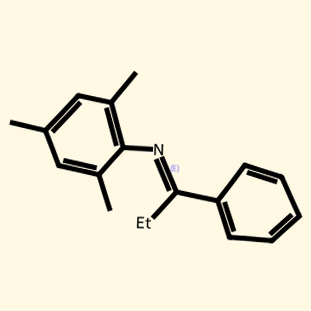 CC/C(=N\c1c(C)cc(C)cc1C)c1ccccc1